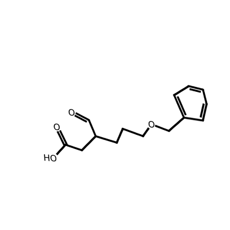 O=CC(CCCOCc1ccccc1)CC(=O)O